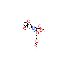 CCOC(=O)c1cn(C2CCC3(CC2)C(=O)CCC3=O)nc1OCCCOCCOC